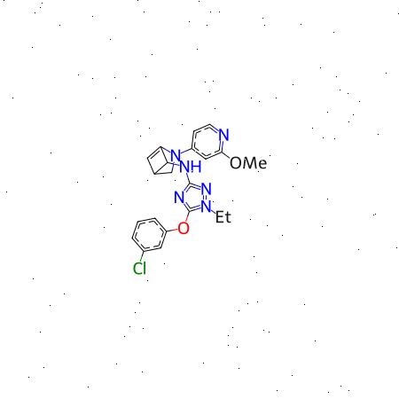 CCn1nc(NC2C3=CC2CN3c2ccnc(OC)c2)nc1Oc1cccc(Cl)c1